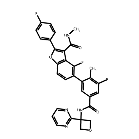 CNC(=O)c1c(-c2ccc(F)cc2)oc2ccc(-c3cc(C(=O)NC4(c5ncccn5)COC4)cc(F)c3C)c(F)c12